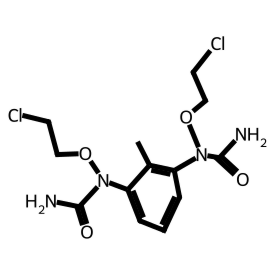 Cc1c(N(OCCCl)C(N)=O)cccc1N(OCCCl)C(N)=O